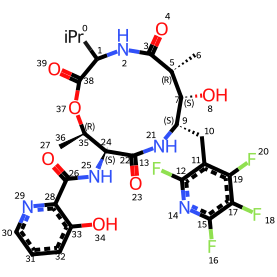 CC(C)C1NC(=O)[C@H](C)[C@H](O)[C@H](Cc2c(F)nc(F)c(F)c2F)NC(=O)[C@@H](NC(=O)c2ncccc2O)[C@@H](C)OC1=O